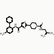 C=C(C)CNC(=S)N1CCC(c2nc(C(=O)Nc3ccc(C)cc3-c3ccccc3)cs2)CC1